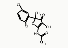 CC(=O)NC1=C(O)C(=O)C(C)(c2cc(Cl)ccc2Cl)O1